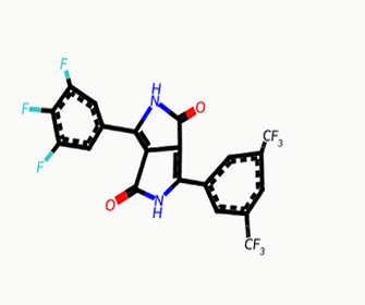 O=C1NC(c2cc(F)c(F)c(F)c2)=C2C(=O)NC(c3cc(C(F)(F)F)cc(C(F)(F)F)c3)=C12